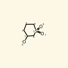 [O]C1CCCS(=O)(=O)C1